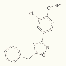 CC(C)Oc1ccc(-c2noc(Cc3ccccc3)n2)cc1Cl